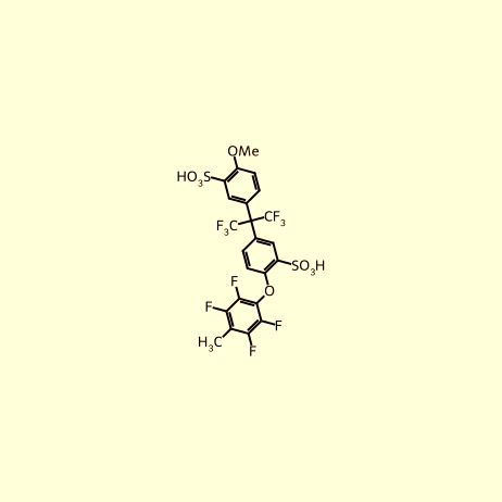 COc1ccc(C(c2ccc(Oc3c(F)c(F)c(C)c(F)c3F)c(S(=O)(=O)O)c2)(C(F)(F)F)C(F)(F)F)cc1S(=O)(=O)O